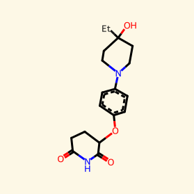 CCC1(O)CCN(c2ccc(OC3CCC(=O)NC3=O)cc2)CC1